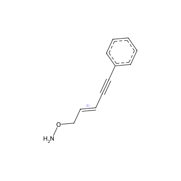 NOC/C=C/C#Cc1ccccc1